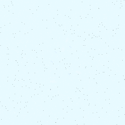 CC(C)CC1(O)CCN(C(=O)c2ccc(NS(=O)(=O)c3cccc4ccc(N)nc34)cc2)CC1